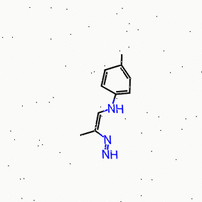 C/C(=C/Nc1ccc(C)cc1)N=N